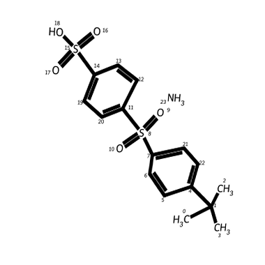 CC(C)(C)c1ccc(S(=O)(=O)c2ccc(S(=O)(=O)O)cc2)cc1.N